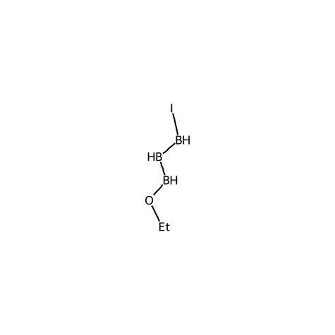 CCOBBBI